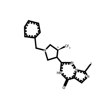 O=c1[nH]c(C2CN(Cc3ccccc3)C[C@H]2C(F)(F)F)nn2c(I)ncc12